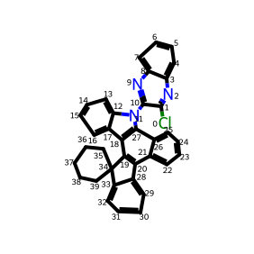 Clc1nc2ccccc2nc1-n1c2ccccc2c2c3c(c4ccccc4c21)-c1ccccc1C31CCCCC1